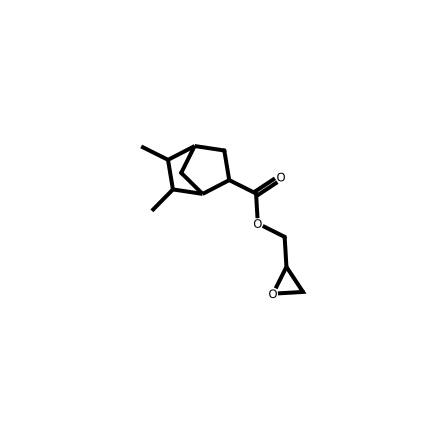 CC1C2CC(C(=O)OCC3CO3)C(C2)C1C